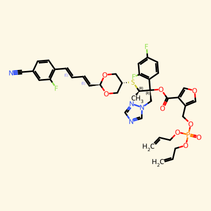 C=CCOP(=O)(OCC=C)OCc1cocc1C(=O)O[C@@](Cn1cncn1)(c1ccc(F)cc1F)[C@@H](C)S[C@H]1CO[C@H](/C=C/C=C/c2ccc(C#N)cc2F)OC1